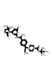 CCC(c1ccc(C(C)Nc2nc(F)cc(N3C(=O)OCC3(C)C)n2)cc1)N1CCN(C(=O)OC(C)(C)C)CC1